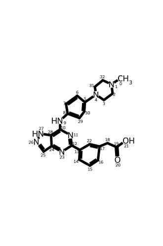 CN1CCN(c2ccc(Nc3nc(-c4cccc(CC(=O)O)c4)nc4cn[nH]c34)cc2)CC1